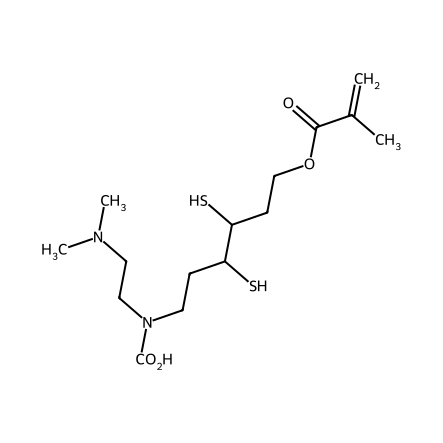 C=C(C)C(=O)OCCC(S)C(S)CCN(CCN(C)C)C(=O)O